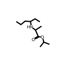 CCCC(CC)NC(C)C(=O)OC(C)C